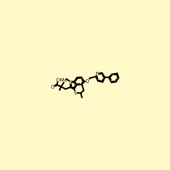 COC(=O)C(C)(C)Cc1c2c3c(c(OCc4ccc(-c5ccccc5)cn4)ccc3n1C)CC(C)S2